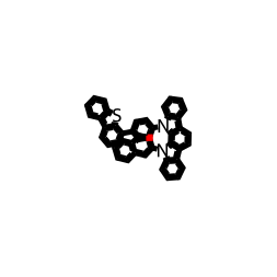 c1ccc2cc(-n3c4ccccc4c4ccc5c6ccccc6n(-c6ccc(-c7cccc8c7sc7ccccc78)cc6)c5c43)ccc2c1